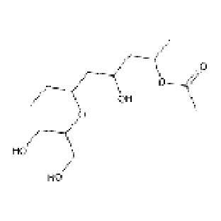 CCC(CC(O)CC(C)OC(C)=O)OC(CO)CO